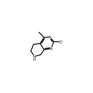 Cc1nc(Cl)nc2c1CCNC2